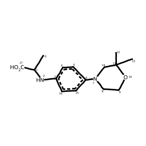 CC(Nc1ccc(N2CCOC(C)(C)C2)cc1)C(=O)O